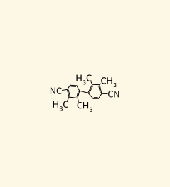 Cc1c(C#N)ccc(-c2ccc(C#N)c(C)c2C)c1C